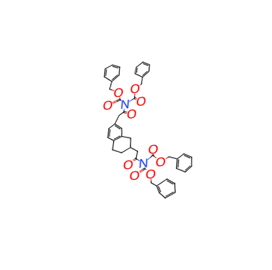 O=C(Cc1ccc2c(c1)CC(CC(=O)N(C(=O)OCc1ccccc1)C(=O)OCc1ccccc1)CC2)N(C(=O)OCc1ccccc1)C(=O)OCc1ccccc1